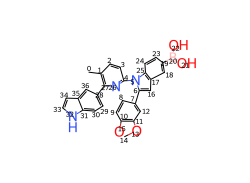 Cc1ccc(-n2c(-c3ccc4c(c3)OCO4)cc3cc(B(O)O)ccc32)nc1-c1ccc2[nH]ccc2c1